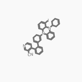 N#Cc1cnccc1-c1ccccc1C1=CCCC(N2c3ccccc3N(C3CC=CCC3)C3C(I)=CC=CC32)=C1